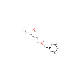 O[C@H](C=CCOCc1ccccc1)C(F)(F)F